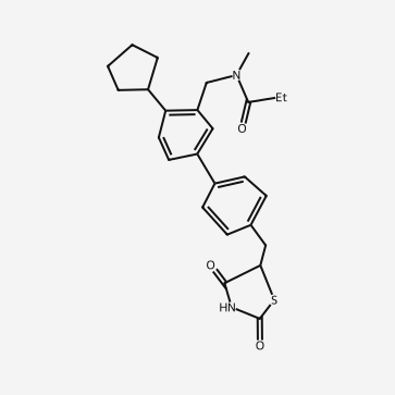 CCC(=O)N(C)Cc1cc(-c2ccc(CC3SC(=O)NC3=O)cc2)ccc1C1CCCC1